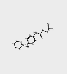 C=C(CCC(C)=O)Nc1ccc(NC2=CCCCC2)cc1